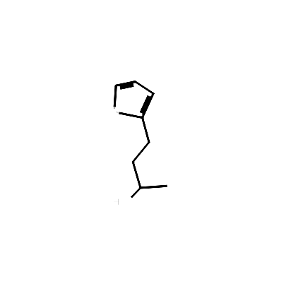 CC(S)CCc1ccco1